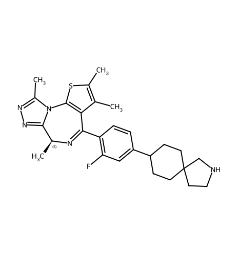 Cc1sc2c(c1C)C(c1ccc(C3CCC4(CCNC4)CC3)cc1F)=N[C@@H](C)c1nnc(C)n1-2